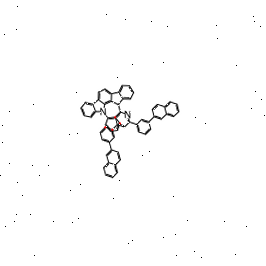 c1ccc(-n2c3ccccc3c3ccc4c(c32)C(c2cc(-c3cccc(-c5ccc6ccccc6c5)c3)cc(-c3cccc(-c5ccc6ccccc6c5)c3)n2)c2ccccc2-4)cc1